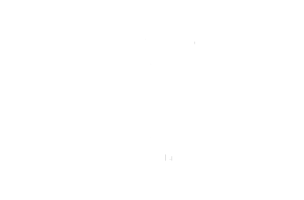 ClC1CC1c1c[c]cc(Br)c1